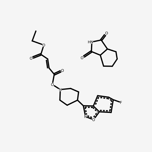 CCOC(=O)/C=C/C(=O)ON1CCC(c2noc3cc(F)ccc23)CC1.O=C1NC(=O)C2CCCCC12